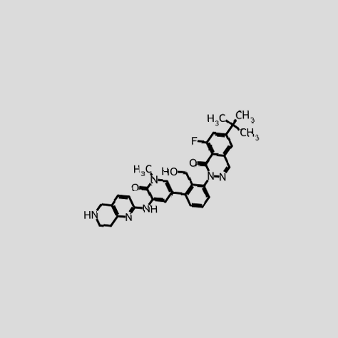 Cn1cc(-c2cccc(-n3ncc4cc(C(C)(C)C)cc(F)c4c3=O)c2CO)cc(Nc2ccc3c(n2)CCNC3)c1=O